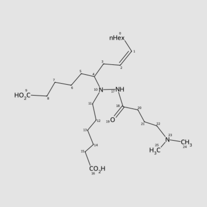 CCCCCC/C=C\CC(CCCCC(=O)O)N(CCCCCC(=O)O)NC(=O)CCCN(C)C